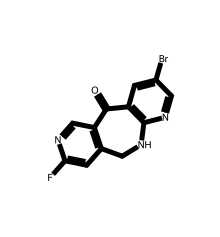 O=C1c2cnc(F)cc2CNc2ncc(Br)cc21